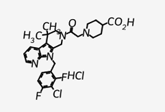 CC1(C)CN(C(=O)CN2CCC(C(=O)O)CC2)Cc2c1c1cccnc1n2Cc1ccc(F)c(Cl)c1F.Cl